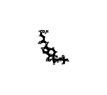 C[C@H]1c2coc(OC(=O)CCC(=O)O)c2CC[C@]1(C)[C@]1(O)C[C@H]1[C@@H]1OC1(C)C